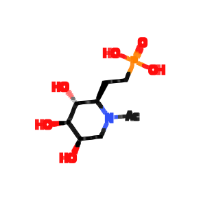 CC(=O)N1C[C@@H](O)[C@@H](O)[C@H](O)[C@H]1CCP(=O)(O)O